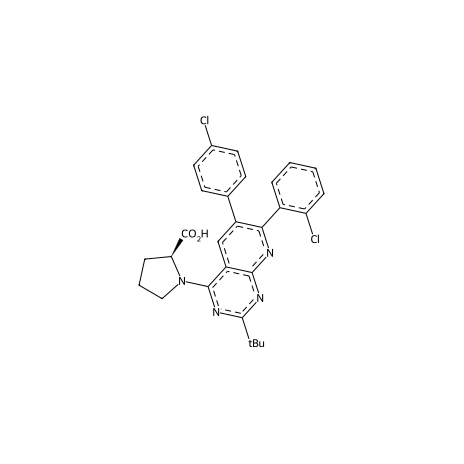 CC(C)(C)c1nc(N2CCC[C@H]2C(=O)O)c2cc(-c3ccc(Cl)cc3)c(-c3ccccc3Cl)nc2n1